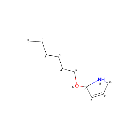 CCCCCCOC1C=CCN1